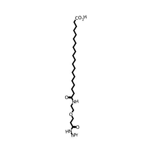 CCCNC(=O)CCOCCNC(=O)CCCCCCCCCCCCCCCCCCC(=O)O